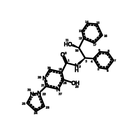 O=C(N[C@H](c1ccccc1)[C@@H](O)c1ccccc1)c1cnc(-n2cccn2)nc1O